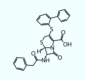 O=C(Cc1ccccc1)N[C@@H]1C(=O)N2C(C(=O)O)=C(Sc3ccccc3-c3ccccc3)CS[C@@H]12